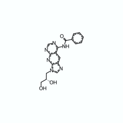 O=C(Nc1ncnc2nc3c(cc12)ncn3C[C@H](O)CO)c1ccccc1